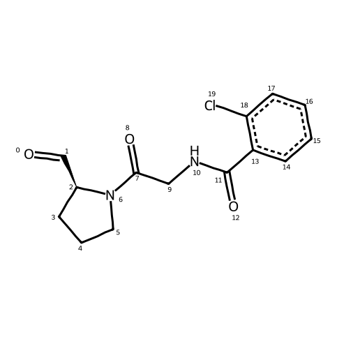 O=C[C@@H]1CCCN1C(=O)CNC(=O)c1ccccc1Cl